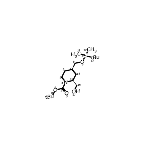 CC(C)(C)OC(=O)N1CC[C@@H](CO[Si](C)(C)C(C)(C)C)C[C@@H]1CO